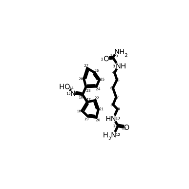 NC(=O)NCCCCCCNC(N)=O.ON=C(c1ccccc1)c1ccccc1